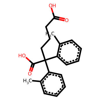 Cc1ccccc1C(CCCC(=O)O)(C(=O)O)c1ccccc1C